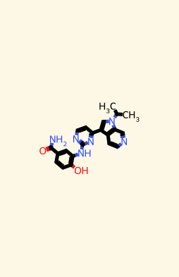 CC(C)n1cc(-c2ccnc(Nc3cc(C(N)=O)ccc3O)n2)c2ccncc21